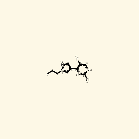 CCCn1cc(-c2nc(Cl)ncc2F)cn1